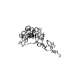 C=C1N=C(N)C=CN1[C@@H]1O[C@](CCCC)(COP(=O)(O)OP(=O)(O)OP(=O)(O)O)[C@@H](O)[C@H]1F